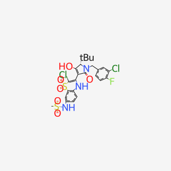 CC(C)(C)[C@H]1C(O)=C(C2=C(Cl)S(=O)(=O)c3cc(NS(C)(=O)=O)ccc3N2)C(=O)N1Cc1ccc(F)c(Cl)c1